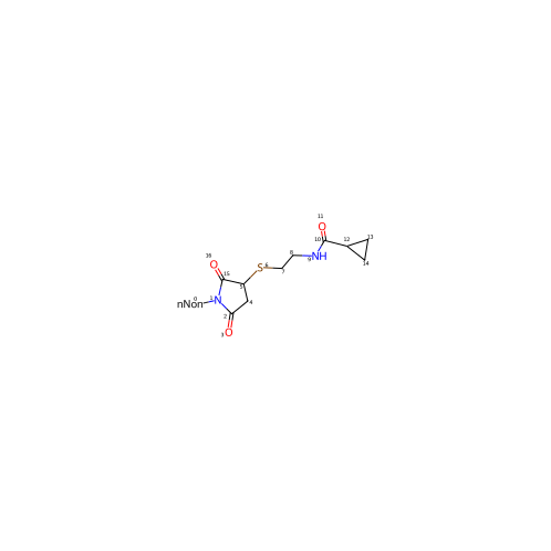 CCCCCCCCCN1C(=O)CC(SCCNC(=O)C2CC2)C1=O